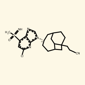 CS(=N)(=O)c1cc(Cl)nc2c1ncn2[C@H]1CCC2CC3(CCC#N)CCC(CC23)C1